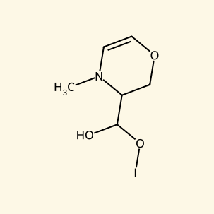 CN1C=COCC1C(O)OI